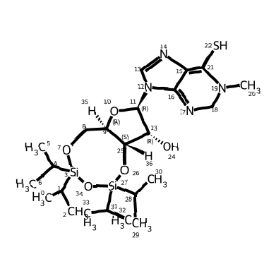 CC(C)[Si]1(C(C)C)OC[C@H]2O[C@@H](n3cnc4c3=NCN(C)C=4S)[C@H](O)[C@@H]2O[Si](C(C)C)(C(C)C)O1